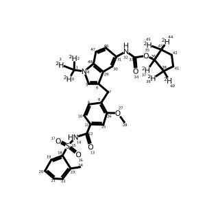 [2H]C([2H])([2H])n1cc(Cc2ccc(C(=O)NS(=O)(=O)c3ccccc3C)cc2OC)c2cc(NC(=O)OC3([2H])C([2H])([2H])CCC3([2H])[2H])ccc21